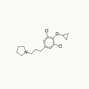 Clc1cc(CCCN2CCCC2)cc(Cl)c1OC1CC1